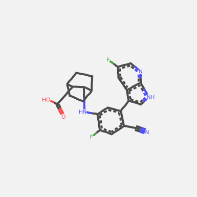 N#Cc1cc(F)c(NC2C3CCC(CC3)C2C(=O)O)cc1-c1c[nH]c2ncc(F)cc12